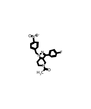 CC(=O)N1CCc2c(c(-c3ccc(F)cc3)nn2Cc2ccc([N+](=O)[O-])cc2)C1